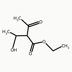 CCOC(=O)C(C(C)=O)C(C)O